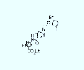 CCOC(=O)c1cc(NC(=O)c2cnc(N3CC(Oc4cc(F)ccc4Br)C3)cn2)n[nH]1